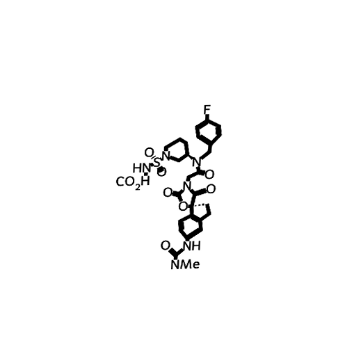 CNC(=O)Nc1ccc2c(c1)CC[C@@]21OC(=O)N(CC(=O)N(Cc2ccc(F)cc2)[C@@H]2CCCN(S(=O)(=O)NC(=O)O)C2)C1=O